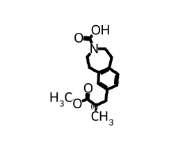 COC(=O)[C@H](C)Cc1ccc2c(c1)CCN(C(=O)O)CC2